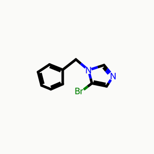 Brc1cncn1Cc1ccccc1